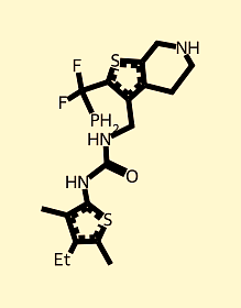 CCc1c(C)sc(NC(=O)NCc2c(C(F)(F)P)sc3c2CCNC3)c1C